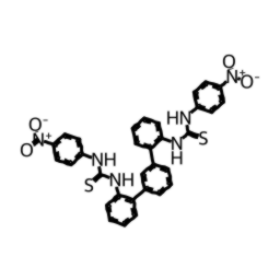 O=[N+]([O-])c1ccc(NC(=S)Nc2ccccc2-c2cccc(-c3ccccc3NC(=S)Nc3ccc([N+](=O)[O-])cc3)c2)cc1